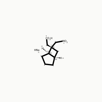 O=C(O)C[C@@]1(C[N+](=O)[O-])C[C@H]2CCC[C@H]21.[NaH]